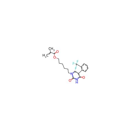 C=C(C)C(=O)OCCCCCCn1cc(-c2ccccc2C(F)(F)F)c(=O)[nH]c1=O